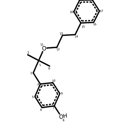 CC(C)(Cc1ccc(O)cc1)OCCCc1ccccc1